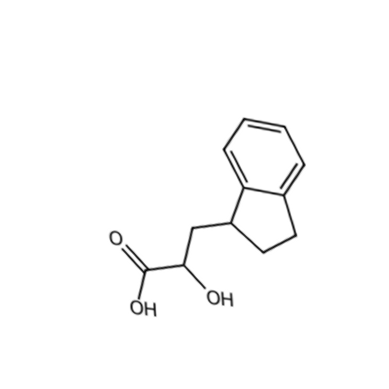 O=C(O)C(O)CC1CCc2ccccc21